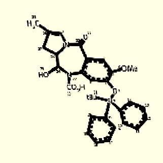 COc1cc2c(cc1O[Si](c1ccccc1)(c1ccccc1)C(C)(C)C)N(C(=O)O)C(O)C1CC(C)=CN1C2=O